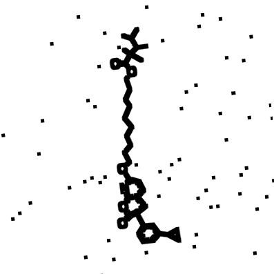 CC(C)C(C)C(C)(C)C(=O)OCCCCCCCCCCOc1ccc2cc(-c3cccc(C4CC4)c3)c(=O)oc2n1